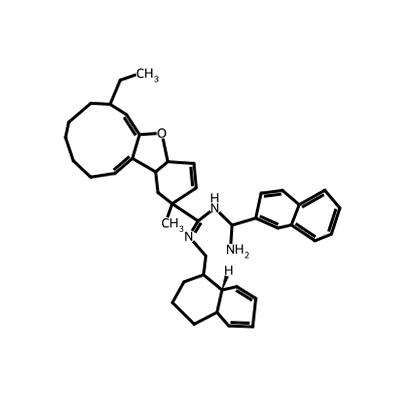 CCC1/C=C2/OC3C=CC(C)(/C(=N/CC4CCCC5C=CC=C[C@H]54)NC(N)c4ccc5ccccc5c4)CC3/C2=C/CCCCC1